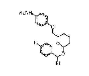 [CH2]CC(OC1CCCC(COc2ccc(NC(C)=O)cc2)O1)c1ccc(F)cc1